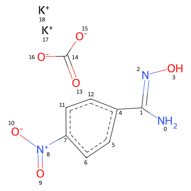 NC(=NO)c1ccc([N+](=O)[O-])cc1.O=C([O-])[O-].[K+].[K+]